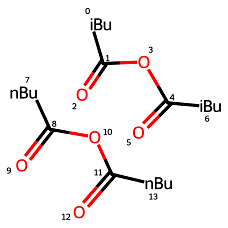 CCC(C)C(=O)OC(=O)C(C)CC.CCCCC(=O)OC(=O)CCCC